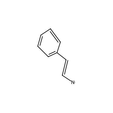 [N]C=Cc1ccccc1